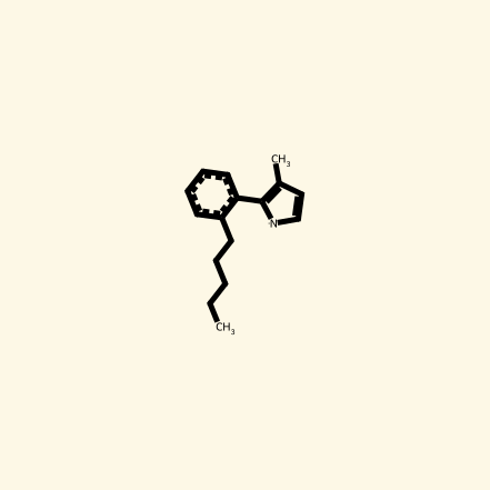 CCCCCc1ccccc1C1=C(C)C=C[N]1